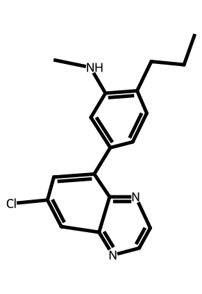 CCCc1ccc(-c2cc(Cl)cc3nccnc23)cc1NC